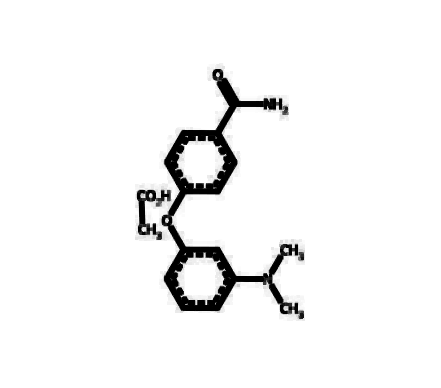 CC(=O)O.CN(C)c1cccc(Oc2ccc(C(N)=O)cc2)c1